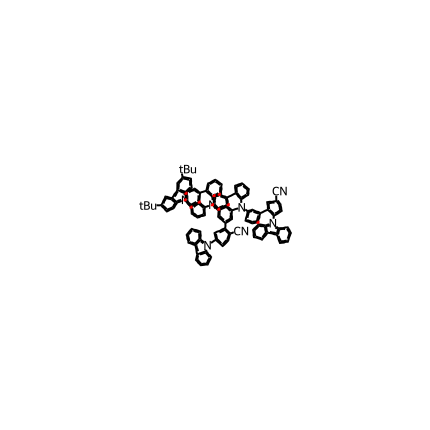 CC(C)(C)c1ccc2c(c1)c1cc(C(C)(C)C)ccc1n2-c1cccc(N(c2cc(-c3cc(-n4c5ccccc5c5ccccc54)ccc3C#N)cc(N(c3cccc(-c4cc(C#N)ccc4-n4c5ccccc5c5ccccc54)c3)c3ccccc3-c3ccccc3)c2)c2ccccc2-c2ccccc2)c1